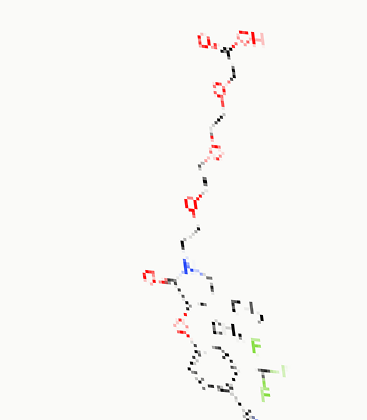 CC1(C)CN(CCOCCOCCOCC(=O)O)C(=O)C1Oc1ccc(C#N)c(C(F)(F)F)c1